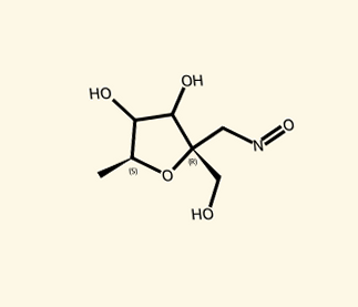 C[C@@H]1O[C@@](CO)(CN=O)C(O)C1O